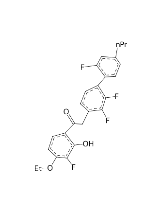 CCCc1ccc(-c2ccc(CC(=O)c3ccc(OCC)c(F)c3O)c(F)c2F)c(F)c1